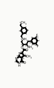 CCc1cccc(CNCC(OC(=O)c2sc3nc[nH]c(=O)c3c2C)C(N)Cc2cc(F)cc(F)c2)c1